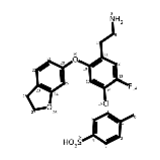 Cc1ccc(S(=O)(=O)O)cc1.NCCc1cc(F)c(Cl)cc1Oc1ccc2c(c1)OCC2